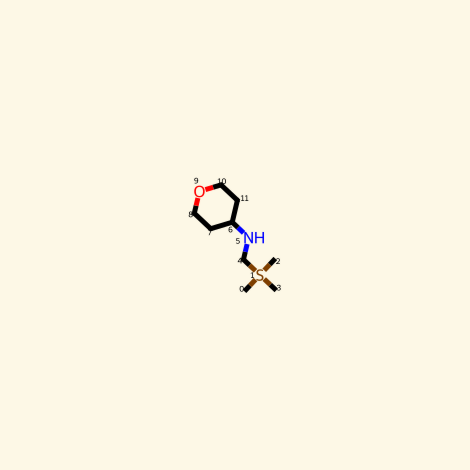 CS(C)(C)CNC1CCOCC1